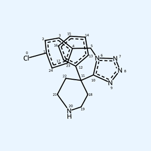 Clc1ccc(Cn2nnnc2C2(c3ccccc3)CCNCC2)cc1